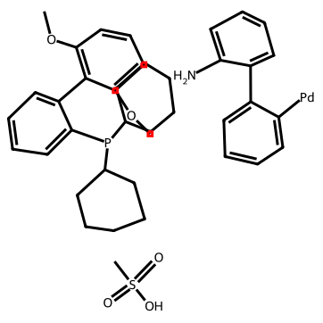 COc1cccc(OC)c1-c1ccccc1P(C1CCCCC1)C1CCCCC1.CS(=O)(=O)O.Nc1ccccc1-c1cccc[c]1[Pd]